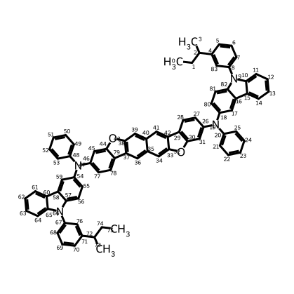 CCC(C)c1cccc(-n2c3ccccc3c3cc(N(c4ccccc4)c4ccc5c(c4)oc4cc6cc7c(cc6cc45)oc4cc(N(c5ccccc5)c5ccc6c(c5)c5ccccc5n6-c5cccc(C(C)CC)c5)ccc47)ccc32)c1